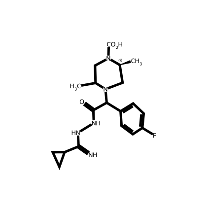 CC1CN(C(=O)O)[C@@H](C)CN1C(C(=O)NNC(=N)C1CC1)c1ccc(F)cc1